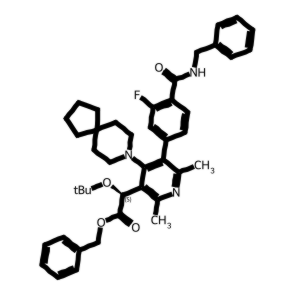 Cc1nc(C)c([C@H](OC(C)(C)C)C(=O)OCc2ccccc2)c(N2CCC3(CCCC3)CC2)c1-c1ccc(C(=O)NCc2ccccc2)c(F)c1